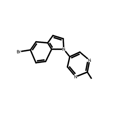 Cc1ncc(-n2ccc3cc(Br)ccc32)cn1